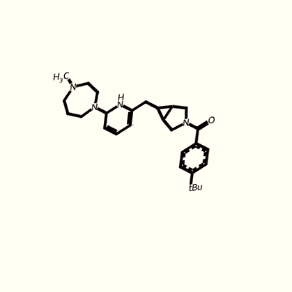 CN1CCCN(C2C=C[C]=C(CC3C4CN(C(=O)c5ccc(C(C)(C)C)cc5)CC34)N2)CC1